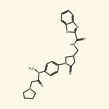 CN(C(=O)CN1CCCC1)c1ccc(N2CC(CNC(=O)c3nc4ccccc4o3)CC2=O)cc1